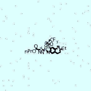 CCCOC(=O)c1nnc(N=Nc2cc3c(cc2NS(=O)(=O)CC(F)(F)F)N(C)C(CC)CC3)s1